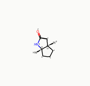 O=C1C[C@@H]2CCC[C@@H]2N1